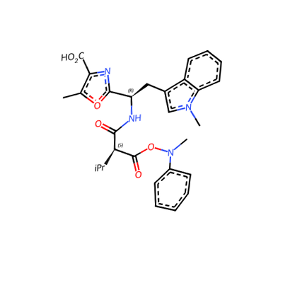 Cc1oc([C@@H](Cc2cn(C)c3ccccc23)NC(=O)[C@@H](C(=O)ON(C)c2ccccc2)C(C)C)nc1C(=O)O